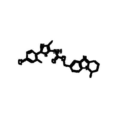 Cc1cc(Cl)ccc1-c1nc(C)c(NC(=O)OCc2ccc3c(c2)nc2n3C(C)CCC2)s1